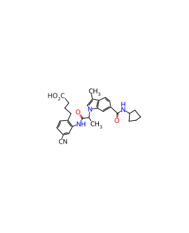 Cc1cn(C(C)C(=O)Nc2cc(C#N)ccc2CCCC(=O)O)c2cc(C(=O)NC3CCCC3)ccc12